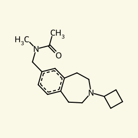 CC(=O)N(C)Cc1ccc2c(c1)CCN(C1CCC1)CC2